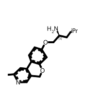 Cc1cc2c(cn1)COc1cc(OC[C@@H](N)CC(C)C)ccc1-2